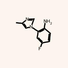 Cc1cn(-c2cc(F)ccc2N)cn1